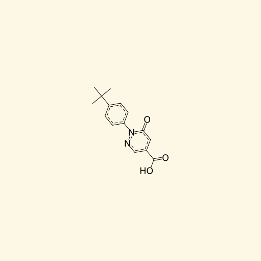 CC(C)(C)c1ccc(-n2ncc(C(=O)O)cc2=O)cc1